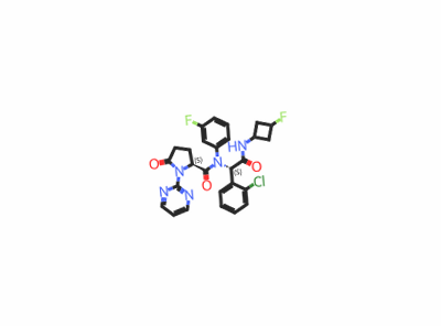 O=C(NC1CC(F)C1)[C@H](c1ccccc1Cl)N(C(=O)[C@@H]1CCC(=O)N1c1ncccn1)c1cccc(F)c1